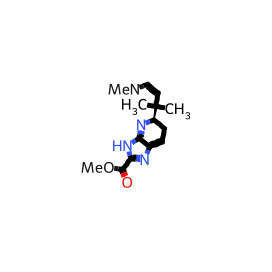 CN/C=C\C(C)(C)[C@H]1CC=c2nc(C(=O)OC)[nH]c2=N1